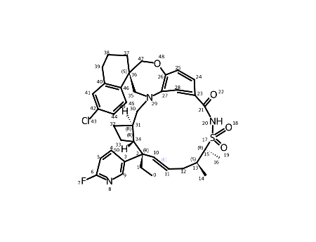 CC[C@]1(c2ccc(F)nc2)/C=C/C[C@H](C)[C@@H](C)S(=O)(=O)NC(=O)c2ccc3c(c2)N(C[C@@H]2CC[C@H]21)C[C@@]1(CCCc2cc(Cl)ccc21)CO3